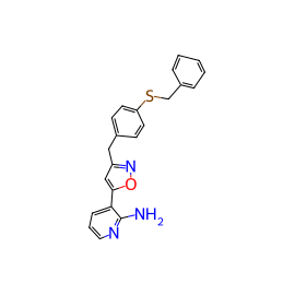 Nc1ncccc1-c1cc(Cc2ccc(SCc3ccccc3)cc2)no1